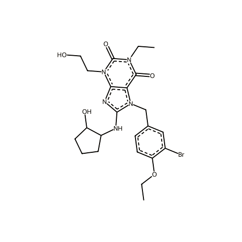 CCOc1ccc(Cn2c(NC3CCCC3O)nc3c2c(=O)n(CC)c(=O)n3CCO)cc1Br